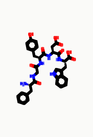 N[C@@H](Cc1ccccc1)C(=O)NCC(=O)N[C@@H](Cc1ccc(O)cc1)C(=O)N[C@@H](CC(=O)O)C(=O)N[C@@H](Cc1c[nH]c2ccccc12)C(=O)O